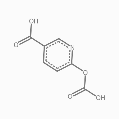 O=C(O)Oc1ccc(C(=O)O)cn1